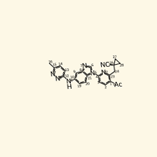 CC(=O)c1ccc(-n2cnc3cc(Nc4ccc(C)nn4)ccc32)nc1CC1(C#N)CC1